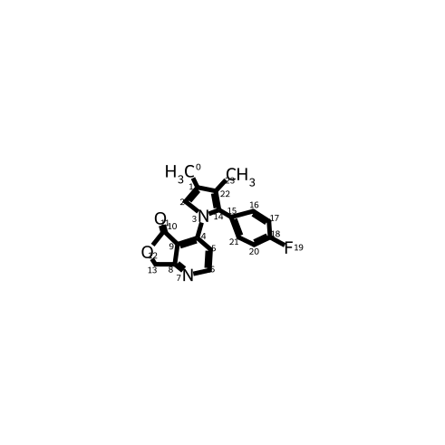 Cc1cn(-c2ccnc3c2C(=O)OC3)c(-c2ccc(F)cc2)c1C